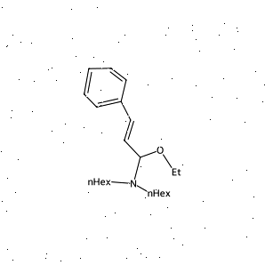 CCCCCCN(CCCCCC)C(C=Cc1ccccc1)OCC